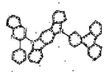 c1ccc(-c2nc3ccccc3nc2-n2c3ccccc3c3cc4c(cc32)c2ccccc2n4-c2ccc3c4ccccc4c4ccccc4c3c2)cc1